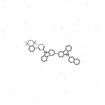 CC1(C)CCC(C)(C)c2c(C3=CC(n4c5ccccc5c5cc(-c6ccc7c(c6)c6ccccc6n7-c6ccc7ccccc7c6)ccc54)=CCC3)cccc21